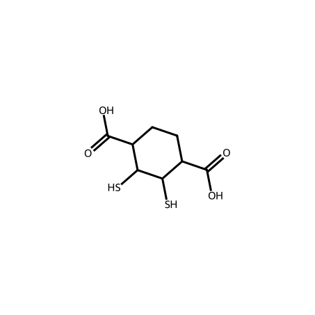 O=C(O)C1CCC(C(=O)O)C(S)C1S